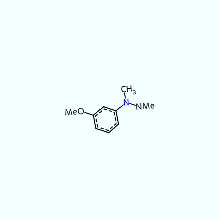 CNN(C)c1cccc(OC)c1